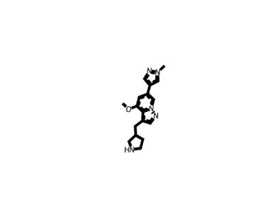 COc1cc(-c2cnn(C)c2)cn2ncc(CC3CCNC3)c12